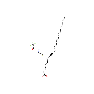 CCCCCCCCCCCCC#CC(CCCCC(=O)O)SCCNC(=O)C(F)(F)F